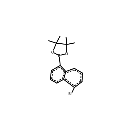 CC1(C)OB(c2cccc3c(Br)cccc23)OC1(C)C